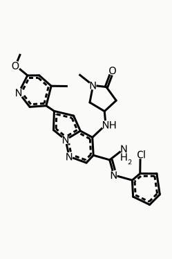 COc1cc(C)c(-c2cc3c(NC4CC(=O)N(C)C4)c(/C(N)=N/c4ccccc4Cl)cnn3c2)cn1